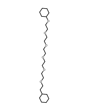 C1CCC(CCOCCOCCOCCOCCOCCOC2CCCCC2)CC1